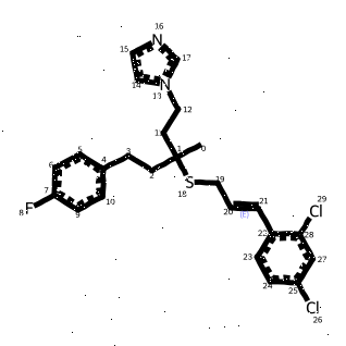 CC(CCc1ccc(F)cc1)(CCn1ccnc1)SC/C=C/c1ccc(Cl)cc1Cl